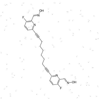 ON=Cc1nc(C#CCCCCCCC#Cc2ccc(F)c(/C=N/O)n2)ccc1F